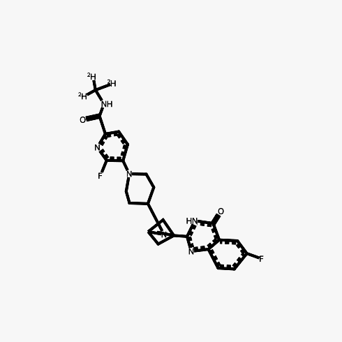 [2H]C([2H])([2H])NC(=O)c1ccc(N2CCC(N3CC4(c5nc6ccc(F)cc6c(=O)[nH]5)CC3C4)CC2)c(F)n1